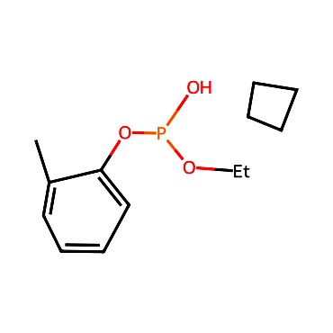 C1CCC1.CCOP(O)Oc1ccccc1C